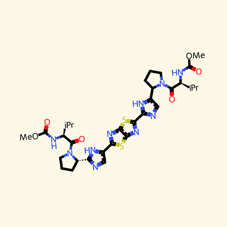 COC(=O)N[C@H](C(=O)N1CCCC1c1cnc(-c2nc3sc(-c4cnc([C@@H]5CCCN5C(=O)[C@@H](NC(=O)OC)C(C)C)[nH]4)nc3s2)[nH]1)C(C)C